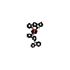 c1ccc(-n2c3ccccc3c3ccc4c5ccccc5nc(-c5ccc(-n6c7ccccc7c7cc(-n8c9ccccc9c9ccccc98)ccc76)cc5)c4c32)cc1